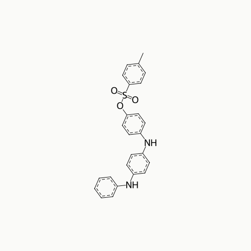 Cc1ccc(S(=O)(=O)Oc2ccc(Nc3ccc(Nc4ccccc4)cc3)cc2)cc1